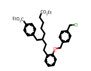 CCOC(=O)CCCCC(CCc1ccccc1OCc1ccc(CCl)cc1)Cc1ccc(C(=O)OCC)cc1